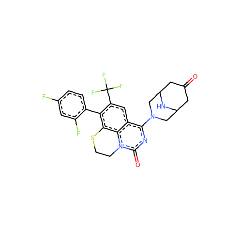 O=C1CC2CN(c3nc(=O)n4c5c(c(-c6ccc(F)cc6F)c(C(F)(F)F)cc35)SCC4)CC(C1)N2